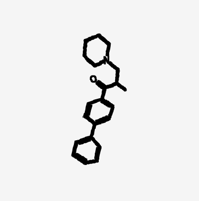 CC(CN1CCCCC1)C(=O)c1ccc(-c2ccccc2)cc1